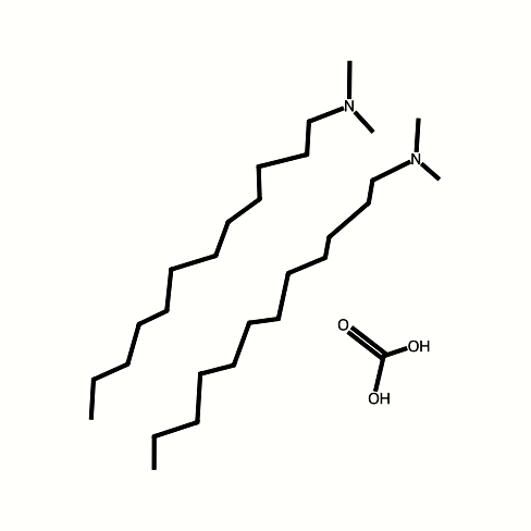 CCCCCCCCCCCCN(C)C.CCCCCCCCCCCCN(C)C.O=C(O)O